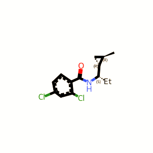 CC[C@H](NC(=O)c1ccc(Cl)cc1Cl)[C@@H]1C[C@H]1C